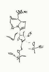 C=CC[C@@]1(c2ccc3c(SC)ncnn23)O[C@H](CO[Si](C)(C)C(C)(C)C)[C@@H](O[Si](C)(C)C(C)(C)C)[C@@]1(C)C#N